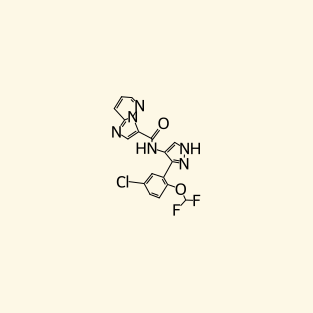 O=C(Nc1c[nH]nc1-c1cc(Cl)ccc1OC(F)F)c1cnc2cccnn12